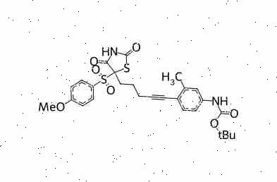 COc1ccc(S(=O)(=O)C2(CCCC#Cc3ccc(NC(=O)OC(C)(C)C)cc3C)SC(=O)NC2=O)cc1